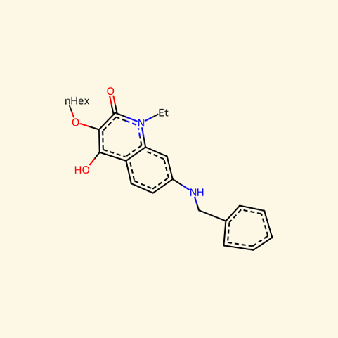 CCCCCCOc1c(O)c2ccc(NCc3ccccc3)cc2n(CC)c1=O